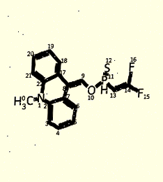 CN1c2ccccc2C(=CO[PH](=S)C=C(F)F)c2ccccc21